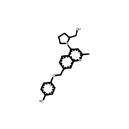 Cc1cc(N2CCCC2CO)c2ccc(COc3ccc(C#N)cc3)cc2n1